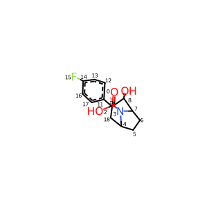 O=C(O)N1C2CCC1C(O)C(c1ccc(F)cc1)C2